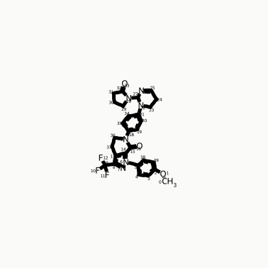 COc1ccc(-n2nc(C(F)(F)F)c3c2C(=O)N(c2ccc(N4CCC=NC4N4CCCC4=O)cc2)CC3)cc1